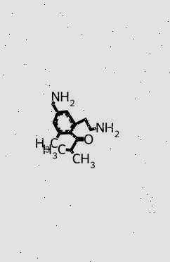 Cc1cc(CN)cc(CCN)c1C(=O)C(C)C